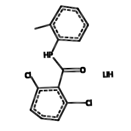 Cc1ccccc1PC(=O)c1c(Cl)cccc1Cl.[LiH]